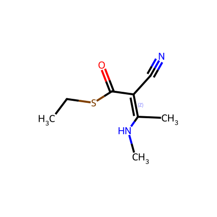 CCSC(=O)/C(C#N)=C(/C)NC